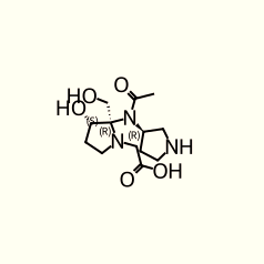 CC(=O)N([C@@H]1CCNC1)[C@]1(CO)[C@@H](O)CCN1CC(=O)O